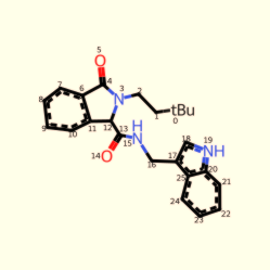 CC(C)(C)CCN1C(=O)c2ccccc2C1C(=O)NCc1c[nH]c2ccccc12